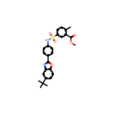 COC(=O)c1cc(S(=O)(=O)Nc2ccc(-c3nc4cc(C(C)(C)C)ccc4o3)cc2)ccc1C